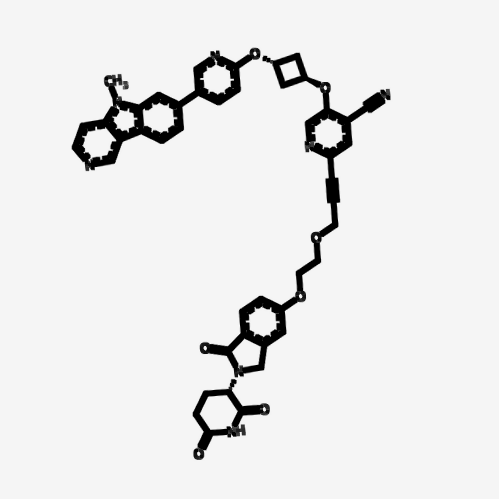 Cn1c2ccncc2c2ccc(-c3ccc(O[C@H]4C[C@H](Oc5cnc(C#CCOCCOc6ccc7c(c6)CN([C@H]6CCC(=O)NC6=O)C7=O)cc5C#N)C4)nc3)cc21